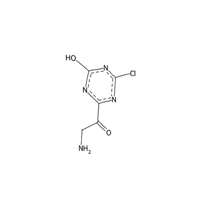 NCC(=O)c1nc(O)nc(Cl)n1